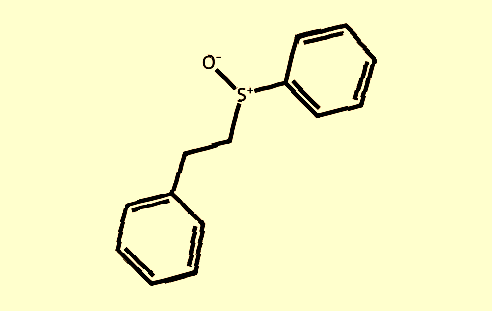 [O-][S+](CCc1ccccc1)c1ccccc1